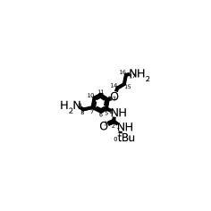 CC(C)(C)NC(=O)Nc1cc(CN)ccc1OCCCN